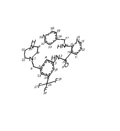 O=C(Nc1cc(CN2CCNCC2)cc(C(F)(F)F)c1)c1cccnc1NCc1ccncc1